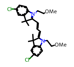 COCCN1/C(=C/C=C/C2=[N+](CCOC)c3ccc(Cl)cc3C2(C)C)C(C)(C)c2cc(Cl)ccc21